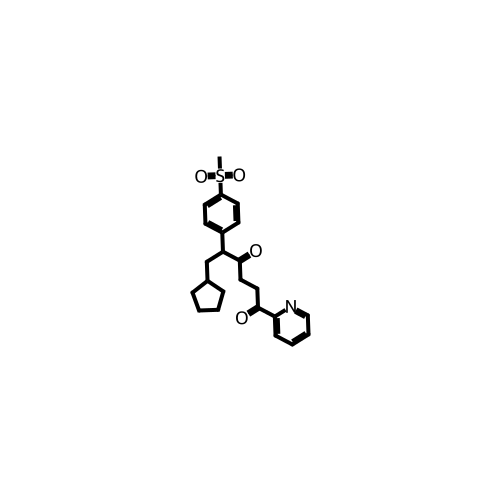 CS(=O)(=O)c1ccc(C(CC2CCCC2)C(=O)CCC(=O)c2ccccn2)cc1